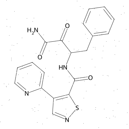 NC(=O)C(=O)C(Cc1ccccc1)NC(=O)c1sncc1-c1ccccn1